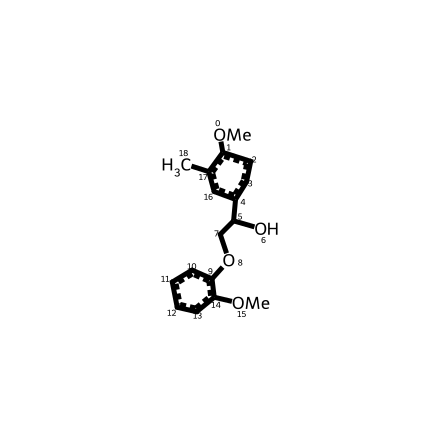 COc1ccc(C(O)COc2ccccc2OC)cc1C